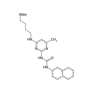 CNCCCCNc1cc(C)nc(NC(=O)Nc2ccc3ccccc3c2)n1